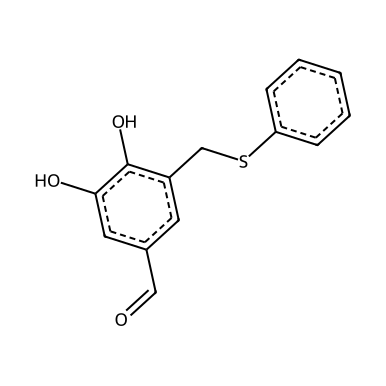 O=Cc1cc(O)c(O)c(CSc2ccccc2)c1